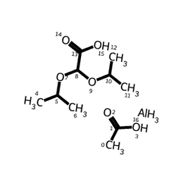 CC(=O)O.CC(C)OC(OC(C)C)C(=O)O.[AlH3]